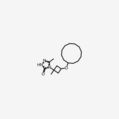 Cc1n[nH]c(=O)n1C1(C)CC(OC2CCCCCCCCCCC2)C1